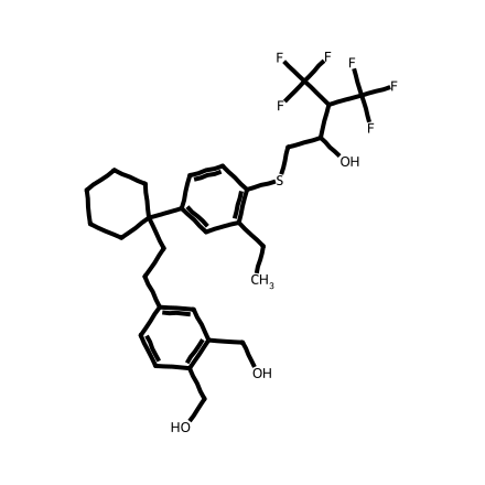 CCc1cc(C2(CCc3ccc(CO)c(CO)c3)CCCCC2)ccc1SCC(O)C(C(F)(F)F)C(F)(F)F